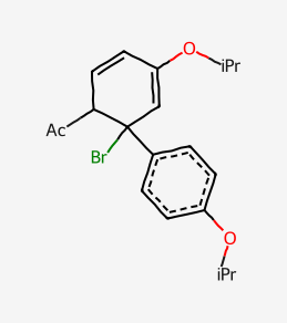 CC(=O)C1C=CC(OC(C)C)=CC1(Br)c1ccc(OC(C)C)cc1